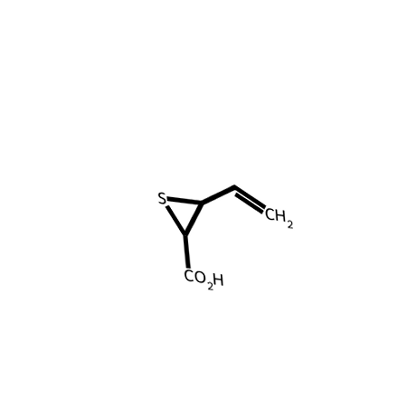 C=CC1SC1C(=O)O